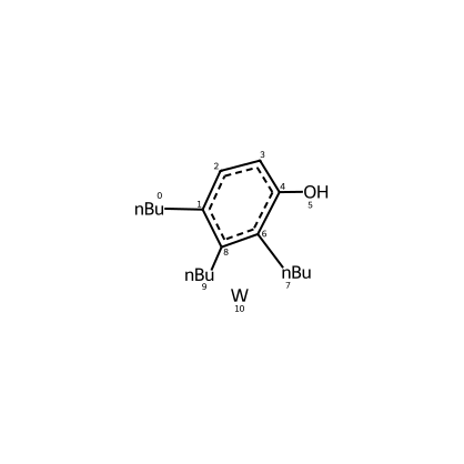 CCCCc1ccc(O)c(CCCC)c1CCCC.[W]